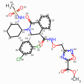 COC(=O)c1nc(CONC(=O)[C@@H]2c3ccccc3C(=O)N([C@H]3CCCC[C@@H]3NS(C)(=O)=O)[C@H]2c2ccc(Cl)cc2Cl)no1